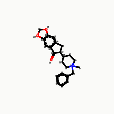 C[N+]1(Cc2ccccc2)CCC(C2Cc3cc4c(cc3C2=O)OCO4)CC1